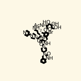 CC(=O)N[C@H]1C(Oc2c(C)cc(C[C@@H](NC(=O)N3CCC(N4Cc5ccccc5NC4=O)CC3)C(=O)N[C@@H](CCCCN)C(=O)N3CCN(c4ccncc4)CC3)cc2Br)OC(CO)[C@@H](O)C1O